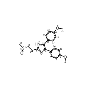 COc1ccc(-c2nc(SC[S+](C)[O-])[nH]c2-c2ccc(OC)cc2)cc1